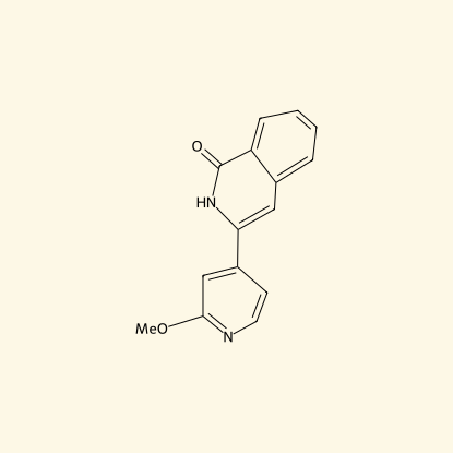 COc1cc(-c2cc3ccccc3c(=O)[nH]2)ccn1